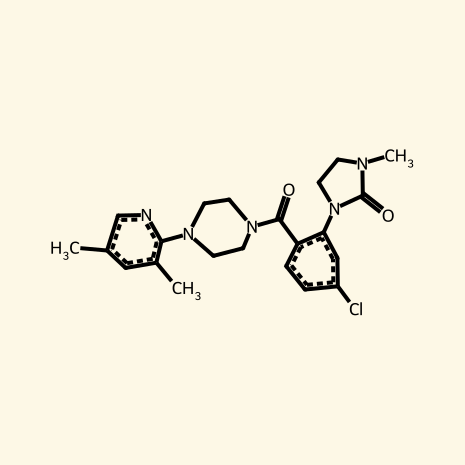 Cc1cnc(N2CCN(C(=O)c3ccc(Cl)cc3N3CCN(C)C3=O)CC2)c(C)c1